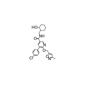 Cc1cc(COc2ncc(C(=O)NCC3CCCCC3O)cc2-c2ccc(Cl)cc2)on1